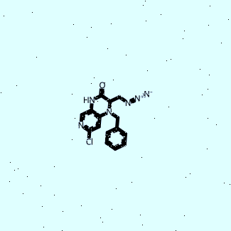 [N-]=[N+]=NCC1C(=O)Nc2cnc(Cl)cc2N1Cc1ccccc1